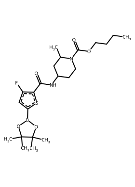 CCCCOC(=O)N1CCC(NC(=O)c2sc(B3OC(C)(C)C(C)(C)O3)cc2F)CC1C